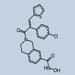 O=C(NO)c1ccc2c(c1)CN(C(=O)C(=Cc1cccs1)c1ccc(Cl)cc1)CC2